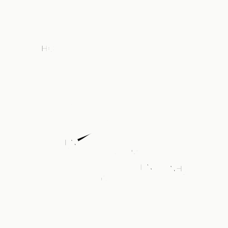 NNOC(=O)[C@@H](N)Cc1ccc(O)cc1